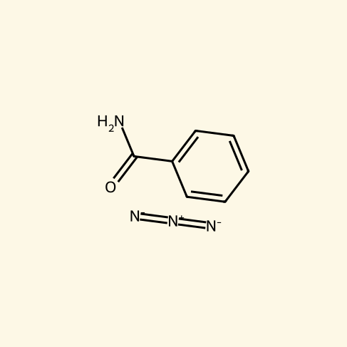 NC(=O)c1ccccc1.[N-]=[N+]=[N-]